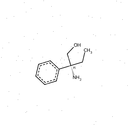 CC[C@](N)(CO)c1ccccc1